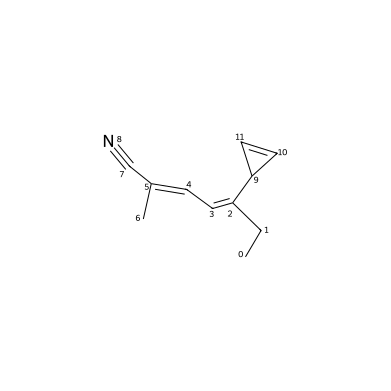 CC/C(=C/C=C(\C)C#N)C1C=C1